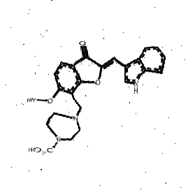 CCCOc1ccc2c(c1CN1CCN(C(=O)O)CC1)OC(=Cc1c[nH]c3ccccc13)C2=O